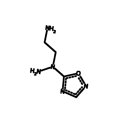 NCCN(N)c1ncno1